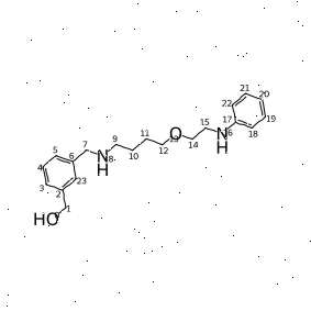 OCc1cccc(CNCCCCOCCNc2ccccc2)c1